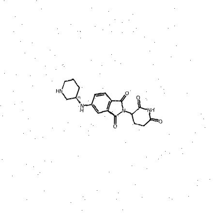 O=C1CCC(N2C(=O)c3ccc(N[C@@H]4CCCNC4)cc3C2=O)C(=O)N1